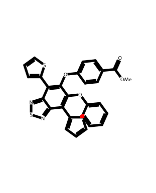 COC(=O)c1ccc(Oc2c(Oc3ccccc3)c(-c3cccs3)c3nsnc3c2-c2cccs2)cc1